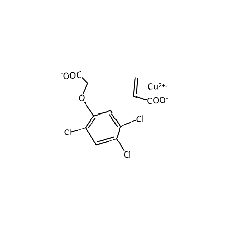 C=CC(=O)[O-].O=C([O-])COc1cc(Cl)c(Cl)cc1Cl.[Cu+2]